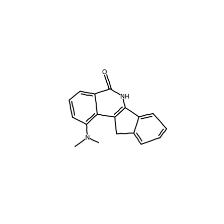 CN(C)c1cccc2c(=O)[nH]c3c(c12)Cc1ccccc1-3